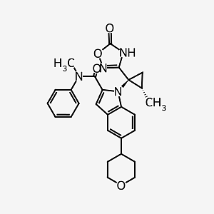 C[C@H]1C[C@]1(c1noc(=O)[nH]1)n1c(C(=O)N(C)c2ccccc2)cc2cc(C3CCOCC3)ccc21